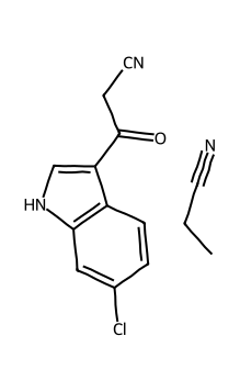 CCC#N.N#CCC(=O)c1c[nH]c2cc(Cl)ccc12